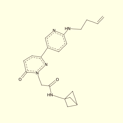 C=CCCNc1ccc(-c2ccc(=O)n(CC(=O)NC34CC(C3)C4)n2)cn1